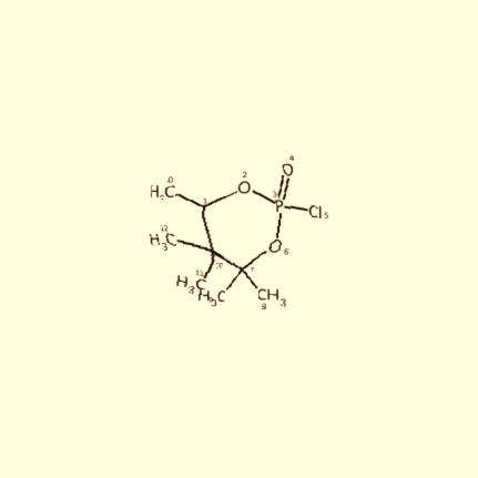 CC1OP(=O)(Cl)OC(C)(C)C1(C)C